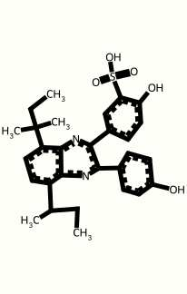 CCC(C)c1ccc(C(C)(C)CC)c2nc(-c3ccc(O)c(S(=O)(=O)O)c3)c(-c3ccc(O)cc3)nc12